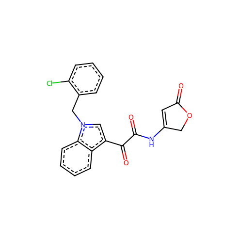 O=C1C=C(NC(=O)C(=O)c2cn(Cc3ccccc3Cl)c3ccccc23)CO1